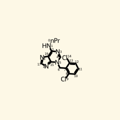 CCCNc1ncn(Cc2c(Cl)cccc2Cl)c2ncnc1-2